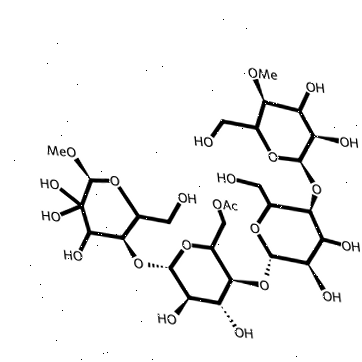 CO[C@@H]1C(CO)O[C@H](O[C@@H]2C(CO)O[C@@H](O[C@@H]3C(COC(C)=O)O[C@@H](O[C@@H]4C(CO)O[C@H](OC)C(O)(O)C4O)[C@H](O)[C@H]3O)[C@H](O)C2O)[C@H](O)C1O